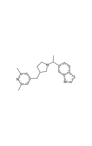 Cc1cc(CC2CCN(C(C)c3ccc4scnc4c3)C2)cc(C)n1